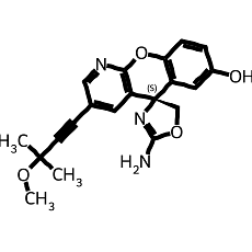 COC(C)(C)C#Cc1cnc2c(c1)[C@]1(COC(N)=N1)c1cc(O)ccc1O2